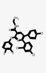 CCNC(=O)c1cc(-c2ccc(Cl)cc2)c(-c2ccc(Cl)cc2Cl)nc1Oc1ccc(F)c(F)c1